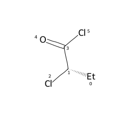 CC[C@H](Cl)C(=O)Cl